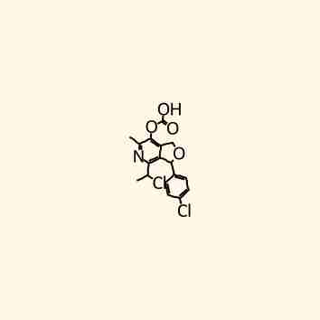 Cc1nc(C(C)Cl)c2c(c1OC(=O)O)COC2c1ccc(Cl)cc1